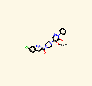 CCCCCCCOc1c(N2CCN(C(=O)[C@H](N)Cc3ccc(Cl)cc3)CC2)cnn(-c2ccccc2)c1=O